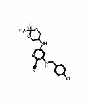 CC1(C)OCC(Nc2cnc(C#N)c(NCc3ccc(Cl)cc3)c2)CO1